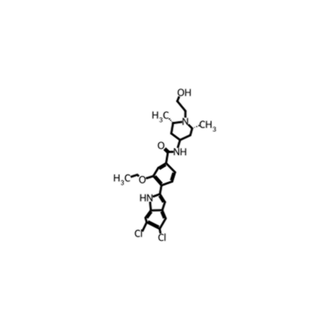 CCOc1cc(C(=O)NC2C[C@@H](C)N(CCO)[C@@H](C)C2)ccc1-c1cc2cc(Cl)c(Cl)cc2[nH]1